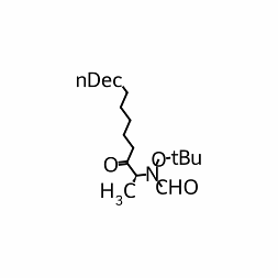 CCCCCCCCCCCCCCCC(=O)[C@H](C)N(C=O)OC(C)(C)C